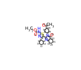 CCOC(=O)Nc1nc(-c2ccccc2)c(-c2nc3ccccc3c(=O)n2-c2ccc(C(C)=O)cc2)s1